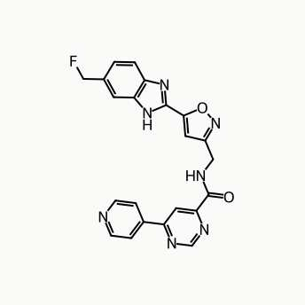 O=C(NCc1cc(-c2nc3ccc(CF)cc3[nH]2)on1)c1cc(-c2ccncc2)ncn1